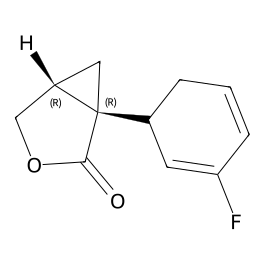 O=C1OC[C@@H]2C[C@]12C1C=C(F)C=CC1